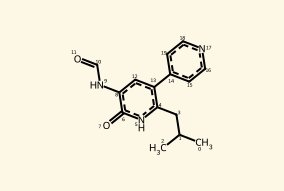 CC(C)Cc1[nH]c(=O)c(NC=O)cc1-c1ccncc1